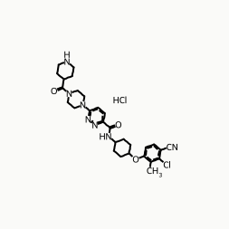 Cc1c(OC2CCC(NC(=O)c3ccc(N4CCN(C(=O)C5CCNCC5)CC4)nn3)CC2)ccc(C#N)c1Cl.Cl